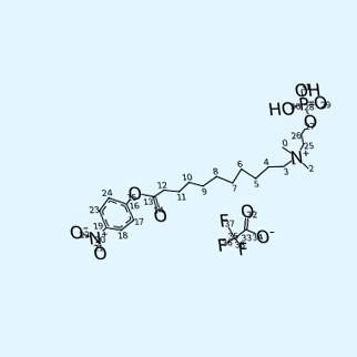 C[N+](C)(CCCCCCCCCCC(=O)Oc1ccc([N+](=O)[O-])cc1)CCOP(=O)(O)O.O=C([O-])C(F)(F)F